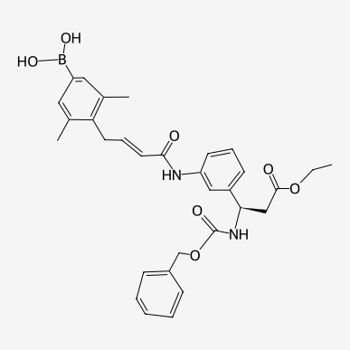 CCOC(=O)C[C@@H](NC(=O)OCc1ccccc1)c1cccc(NC(=O)C=CCc2c(C)cc(B(O)O)cc2C)c1